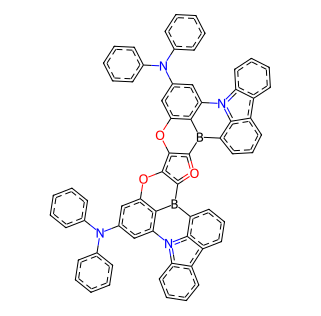 c1ccc(N(c2ccccc2)c2cc3c4c(c2)-n2c5ccccc5c5cccc(c52)B4c2oc4c(c2O3)Oc2cc(N(c3ccccc3)c3ccccc3)cc3c2B4c2cccc4c5ccccc5n-3c24)cc1